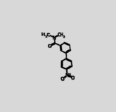 CN(C)C(=O)c1cccc(-c2ccc([N+](=O)[O-])cc2)c1